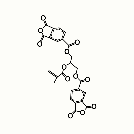 C=C(C)C(=O)OC(COC(=O)c1ccc2c(c1)C(=O)OC2=O)COC(=O)c1ccc2c(c1)C(=O)OC2=O